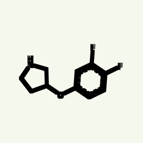 Fc1ccc(OC2CCNC2)cc1F